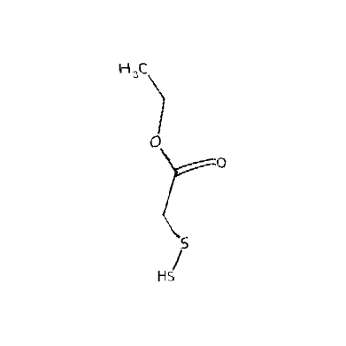 CCOC(=O)CSS